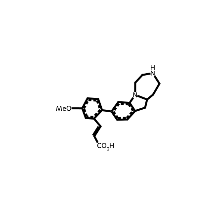 COc1ccc(-c2ccc3c(c2)N2CCNCCC2C3)c(C=CC(=O)O)c1